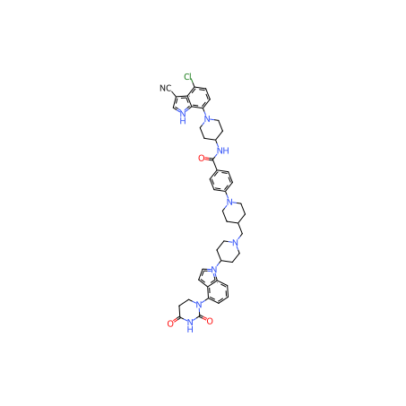 N#Cc1c[nH]c2c(N3CCC(NC(=O)c4ccc(N5CCC(CN6CCC(n7ccc8c(N9CCC(=O)NC9=O)cccc87)CC6)CC5)cc4)CC3)ccc(Cl)c12